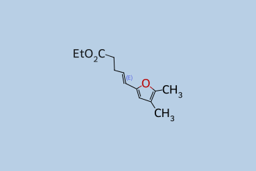 CCOC(=O)CC/C=C/c1cc(C)c(C)o1